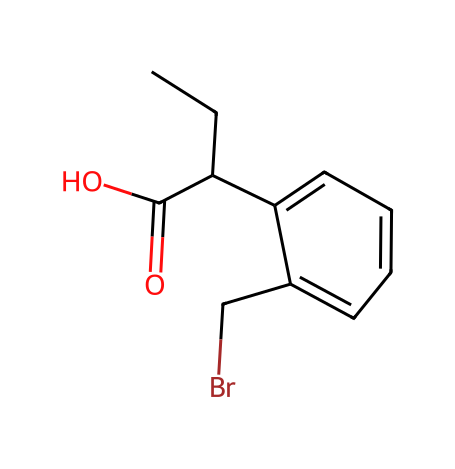 CCC(C(=O)O)c1ccccc1CBr